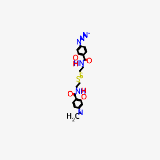 C=Nc1ccc(C(=O)NCCSSCCNC(=O)c2ccc(N=[N+]=[N-])cc2O)c(O)c1